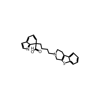 O=C(O)C1(CCCCN2CCc3c(sc4ccccc34)C2)C=CC=C2C=CN=C21